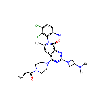 C=CC(=O)N1CCN(c2nc(N3CC(N(CC)CC)C3)nc3c(=O)n(-c4c(N)ccc(Cl)c4F)c(C(F)(F)F)cc23)CC1